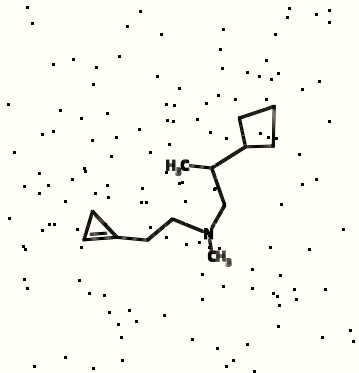 CC(CN(C)CCC1=CC1)C1CCC1